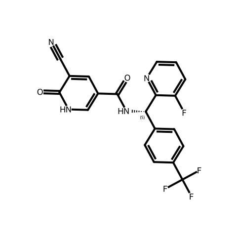 N#Cc1cc(C(=O)N[C@@H](c2ccc(C(F)(F)F)cc2)c2ncccc2F)c[nH]c1=O